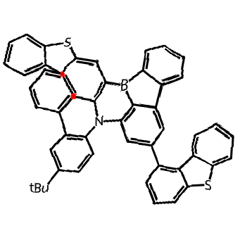 CC(C)(C)c1ccc(N2c3cc4c(cc3B3c5ccccc5-c5cc(-c6cccc7sc8ccccc8c67)cc2c53)sc2ccccc24)c(-c2ccccc2)c1